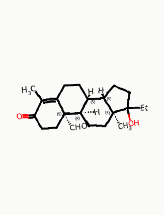 CCC1(O)CC[C@H]2[C@@H]3CCC4=C(C)C(=O)CC[C@]4(C=O)[C@@H]3CC[C@@]21C